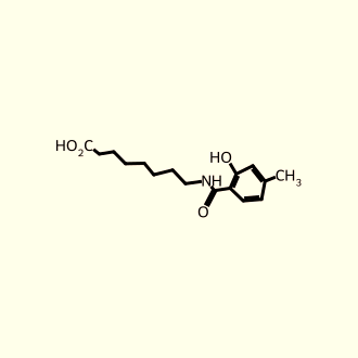 Cc1ccc(C(=O)NCCCCCCCC(=O)O)c(O)c1